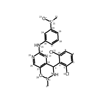 CN1NC(c2c(Cl)cccc2Cl)c2nc(Nc3cccc([S+](C)[O-])c3)ncc2O1